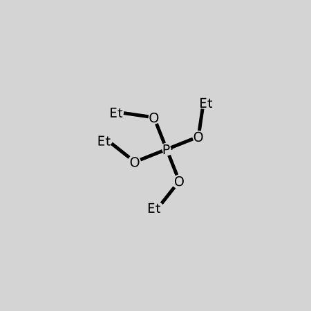 CCO[P](OCC)(OCC)OCC